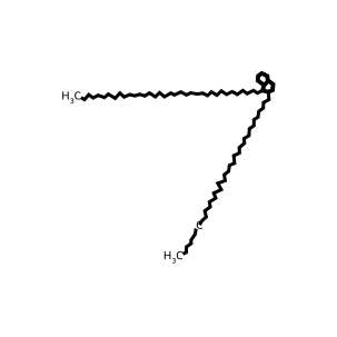 CCCCCCCCCCCCCCCCCCCCCCCCCCCCCCCCCCCCc1ccc2ccccc2c1CCCCCCCCCCCCCCCCCCCCCCCCCCCCCCCCCCCC